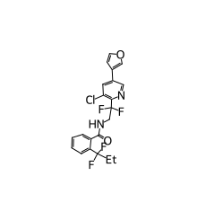 CCC(F)(F)c1ccccc1C(=O)NCC(F)(F)c1ncc(-c2ccoc2)cc1Cl